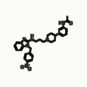 CC(=O)Nc1cccc(C2CCN(CCCNc3nc4ccccc4n3Cc3ccc([N+](=O)[O-])cc3)CC2)c1